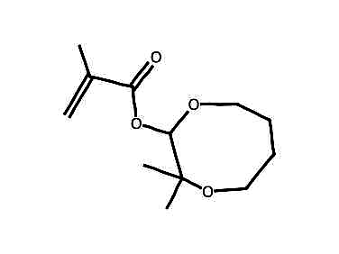 C=C(C)C(=O)OC1OCCCCOC1(C)C